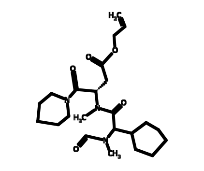 C=CCOC(=O)C[C@@H](C(=O)N1CCCCC1)N(C)C(=O)C(C1CCCCC1)N(C)C=O